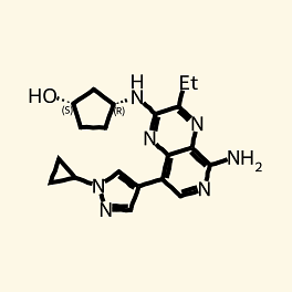 CCc1nc2c(N)ncc(-c3cnn(C4CC4)c3)c2nc1N[C@@H]1CC[C@H](O)C1